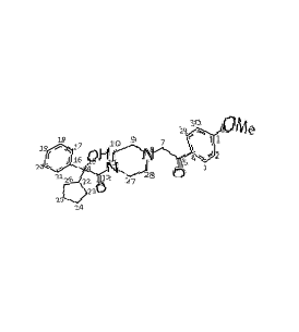 COc1ccc(C(=O)CN2CCN(C(=O)C(O)(c3ccccc3)C3CCCC3)CC2)cc1